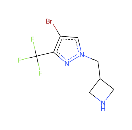 FC(F)(F)c1nn(CC2CNC2)cc1Br